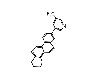 FC(F)(F)c1cncc(-c2ccc3c(ccc4c5c(ccc43)CCCC5)c2)c1